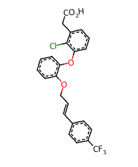 O=C(O)Cc1cccc(Oc2ccccc2OC/C=C/c2ccc(C(F)(F)F)cc2)c1Cl